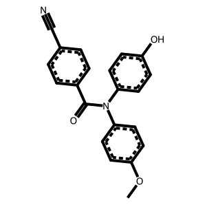 COc1ccc(N(C(=O)c2ccc(C#N)cc2)c2ccc(O)cc2)cc1